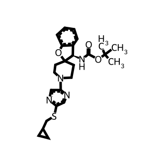 CC(C)(C)OC(=O)N[C@@H]1c2ccccc2OC12CCN(c1cnc(SCC3CC3)cn1)CC2